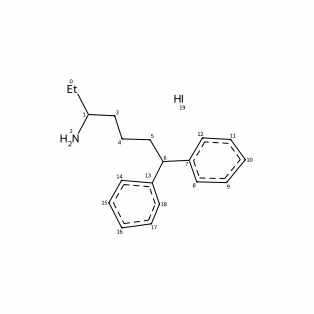 CCC(N)CCCC(c1ccccc1)c1ccccc1.I